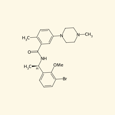 COc1c(Br)cccc1[C@@H](C)NC(=O)c1cc(N2CCN(C)CC2)ccc1C